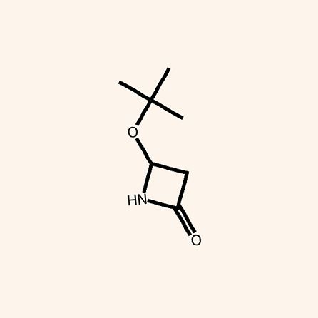 CC(C)(C)OC1CC(=O)N1